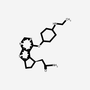 CCNC1CCC(Oc2ncnc3sc4c(c23)[C@@H](CC(N)=O)CC4)CC1